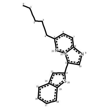 CCCCCc1ccc2ncc(-c3cc4ccccc4s3)n2n1